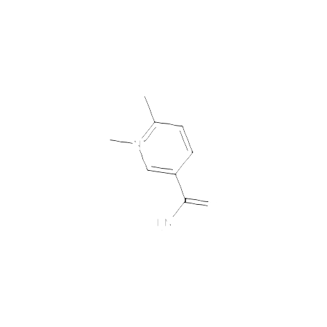 Cc1ccc(C(N)=O)c[n+]1C